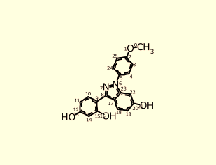 COc1ccc(-n2nc(-c3ccc(O)cc3O)c3ccc(O)cc32)cc1